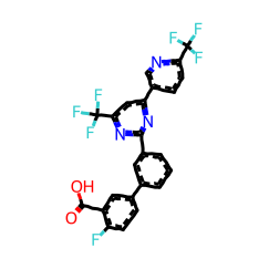 O=C(O)c1cc(-c2cccc(-c3nc(-c4ccc(C(F)(F)F)nc4)cc(C(F)(F)F)n3)c2)ccc1F